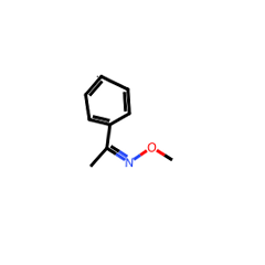 CO/N=C(/C)c1cc[c]cc1